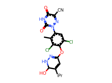 Cc1c(-n2nc(C#N)c(=O)[nH]c2=O)cc(Cl)c(OC2=NNC(O)C(C(C)C)=C2)c1Cl